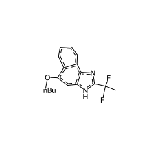 CCCCOc1cc2[nH]c(C(C)(F)F)nc2c2ccccc12